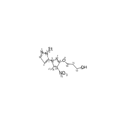 CCn1nccc1-n1nc(OCCCO)c([N+](=O)[O-])c1C